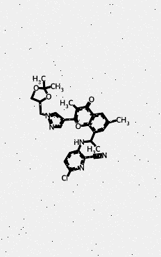 Cc1cc(C(C)Nc2ccc(Cl)nc2C#N)c2oc(-c3cnn(CC4COC(C)(C)O4)c3)c(C)c(=O)c2c1